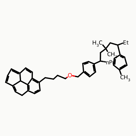 CCCC(CC(C)(C)CC(CC)c1ccc(C)cc1)c1ccc(COCCCCc2ccc3c4c2C=CC2=CC=CC(=CC3)C24)cc1